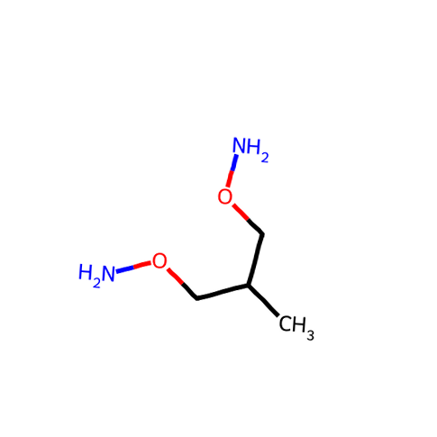 CC(CON)CON